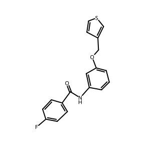 O=C(Nc1cccc(OCc2ccsc2)c1)c1ccc(F)cc1